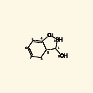 OC1BOC2=CC=CCC21